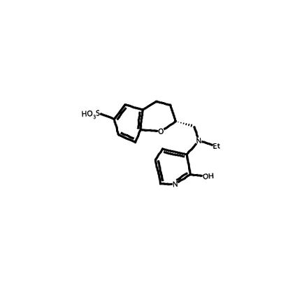 CCN(C[C@H]1CCc2cc(S(=O)(=O)O)ccc2O1)c1cccnc1O